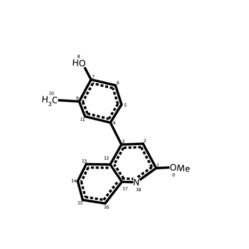 COc1cc(-c2ccc(O)c(C)c2)c2ccccc2n1